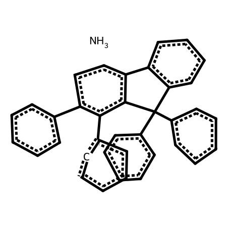 N.c1ccc(-c2ccc3c(c2-c2ccccc2)C(c2ccccc2)(c2ccccc2)c2ccccc2-3)cc1